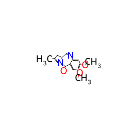 COc1cc2c(cc1OC)C(=O)N1C=C(C)CC1C=N2